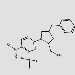 O=[N+]([O-])c1ccc(N2CC(Cc3ccccc3)CC2CO)cc1C(F)(F)F